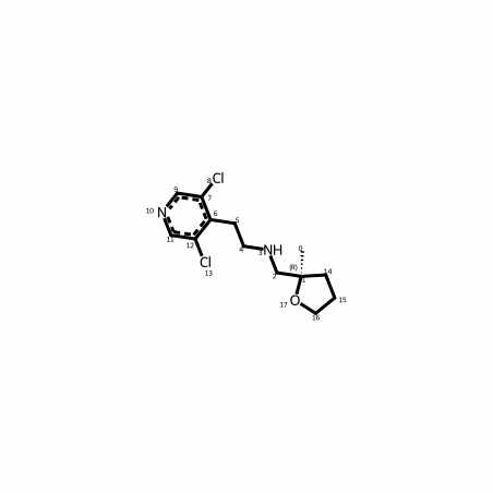 C[C@]1(CNCCc2c(Cl)cncc2Cl)CCCO1